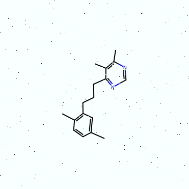 Cc1ccc(C)c(CCCc2ncnc(C)c2C)c1